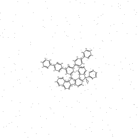 O=P1(c2ccccc2)c2ccccc2-c2c1ccc1c3ccc4ccccc4c3n(-c3cc(-c4ccc(-c5ccccc5)cc4)nc(-c4ccc(-c5ccccc5)cc4)c3)c21